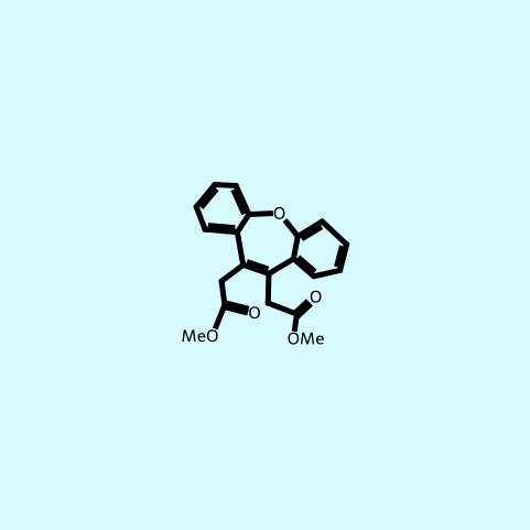 COC(=O)CC1=C(CC(=O)OC)c2ccccc2Oc2ccccc21